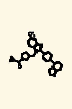 O=C(C1CC1)N1CCC(Cn2c(-c3ccc(-c4cccc5nccn45)cc3)nc3cc(C(F)(F)F)ccc32)C1